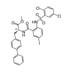 COC(=O)[C@H](Cc1ccc(-c2ccccc2)cc1)NC(=O)c1cc(I)ccc1NS(=O)(=O)c1cc(Cl)ccc1Cl